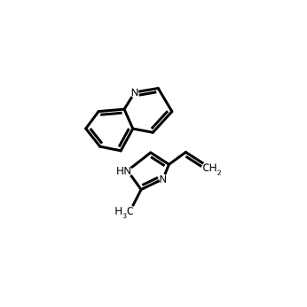 C=Cc1c[nH]c(C)n1.c1ccc2ncccc2c1